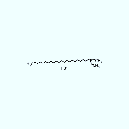 Br.CCCCCCCCCCCCCCCCCCCCCCP(CC)CC